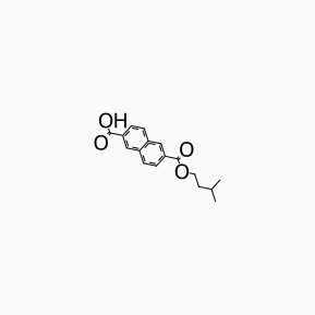 CC(C)CCOC(=O)c1ccc2cc(C(=O)O)ccc2c1